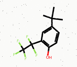 CC(C)(C)c1ccc(O)c(C(F)(F)C(F)(F)F)c1